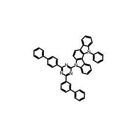 c1ccc(-c2ccc(-c3nc(-c4cccc(-c5ccccc5)c4)nc(-n4c5ccccc5c5c4ccc4c6ccccc6n(-c6ccccc6)c45)n3)cc2)cc1